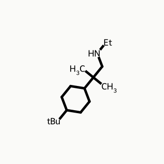 CCNCC(C)(C)C1CCC(C(C)(C)C)CC1